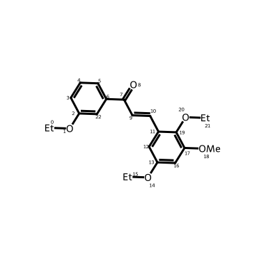 CCOc1cccc(C(=O)/C=C/c2cc(OCC)cc(OC)c2OCC)c1